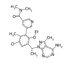 CCOc1c(C(C)n2nc(C)c3c(N)ncnc32)cc(Cl)c(C)c1-c1cncc(C(=O)N(C)C)c1